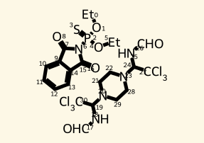 CCOP(=S)(OCC)N1C(=O)c2ccccc2C1=O.O=CNC(N1CCN(C(NC=O)C(Cl)(Cl)Cl)CC1)C(Cl)(Cl)Cl